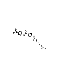 CCCCCCC(=O)Oc1ccc(C(=O)Sc2ccc([N+](=O)[O-])cc2)cc1